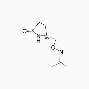 CC(C)=NOC[C@H]1CCC(=O)N1